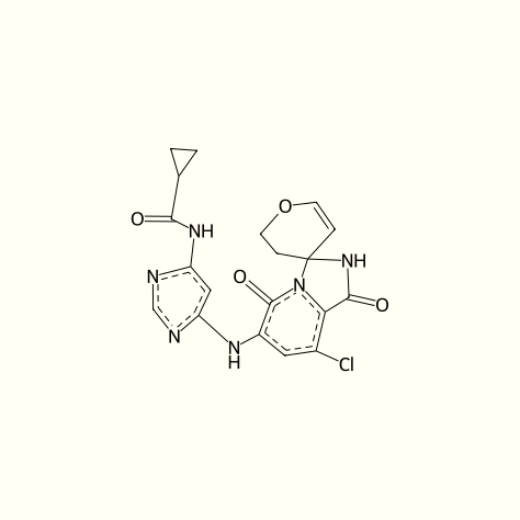 O=C1NC2(C=COCC2)n2c1c(Cl)cc(Nc1cc(NC(=O)C3CC3)ncn1)c2=O